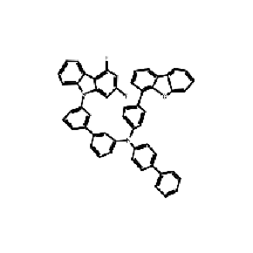 Fc1cc(F)c2c3ccccc3n(-c3cccc(-c4cccc(N(c5ccc(-c6ccccc6)cc5)c5ccc(-c6cccc7c6oc6ccccc67)cc5)c4)c3)c2c1